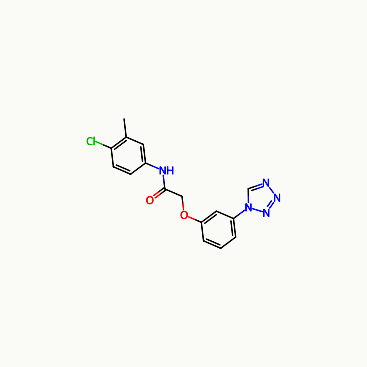 Cc1cc(NC(=O)COc2cccc(-n3cnnn3)c2)ccc1Cl